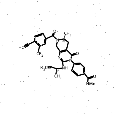 C#Cc1ccc(C(=O)N2Cc3nc(N[C@@H](C)C=C)n(-c4ccc(C(=O)NC)cc4)c(=O)c3C[C@H]2C)cc1C(F)(F)F